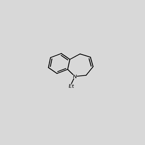 CCN1CC=CCc2ccccc21